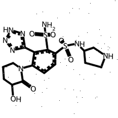 NS(=O)(=O)c1c(S(=O)(=O)NC2CCNC2)ccc(N2CCCC(O)C2=O)c1-c1nn[nH]n1